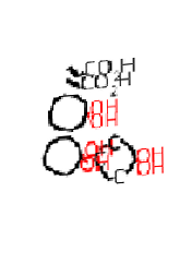 C=CC(=O)O.C=CC(=O)O.OC1(O)CCCCCCCCC1.OC1(O)CCCCCCCCC1.OC1(O)CCCCCCCCC1